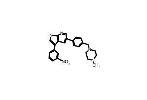 CN1CCN(Cc2ccc(-c3cnc4[nH]cc(-c5cccc([N+](=O)[O-])c5)c4c3)cc2)CC1